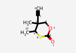 C#CC1(C)COC(=O)SC1C